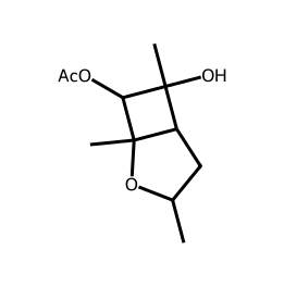 CC(=O)OC1C(C)(O)C2CC(C)OC21C